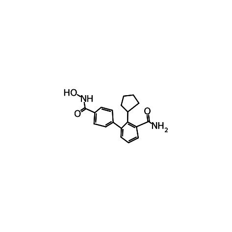 NC(=O)c1cccc(-c2ccc(C(=O)NO)cc2)c1C1CCCC1